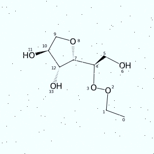 CCOO[C@H](CO)[C@H]1OC[C@H](O)[C@H]1O